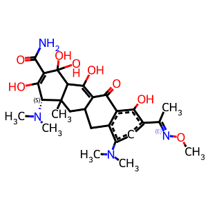 CO/N=C(\C)c1cc(N(C)C)c2c(c1O)C(=O)C1=C(O)C3C(O)(O)C(C(N)=O)=C(O)[C@@H](N(C)C)C3(C)CC1C2